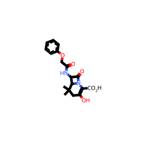 CC1(C)CC(O)=C(C(=O)O)N2C(=O)C(NC(=O)COc3ccccc3)C21